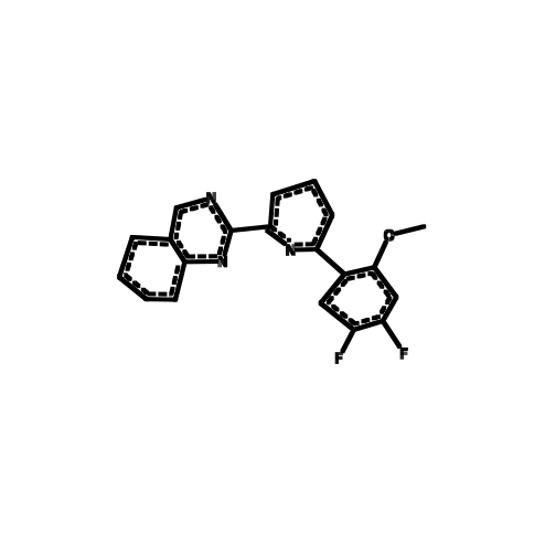 COc1cc(F)c(F)cc1-c1cccc(-c2ncc3ccccc3n2)n1